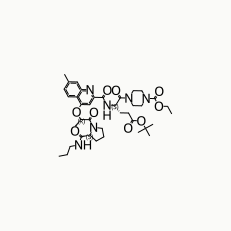 CCCNC(=O)[C@@H]1CCCN1C(=O)[C@@H](C)Oc1cc(C(=O)N[C@@H](CCC(=O)OC(C)(C)C)C(=O)N2CCN(C(=O)OCC)CC2)nc2cc(C)ccc12